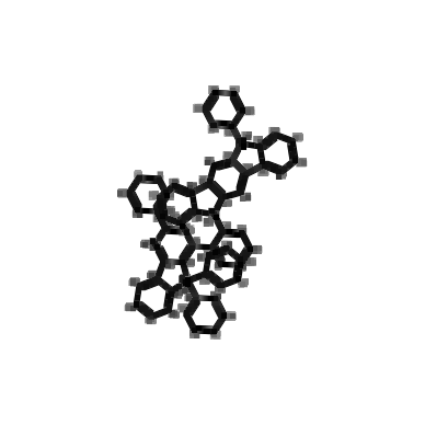 c1ccc(-c2nc(-c3ccccc3-n3c4ccccc4c4cc5c(cc43)c3ccccc3n5-c3ccccc3)c3c(n2)-c2ccccc2[Si]3(c2ccccc2)c2ccccc2)cc1